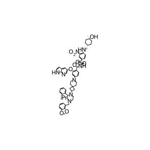 CC(C)c1ccccc1C1CN(Cc2cccc3c2OCO3)CCN1C1CC2(CCN(c3ccc(C(=O)NS(=O)(=O)c4ccc(NC[C@H]5CC[C@](C)(O)CC5)c([N+](=O)[O-])c4)c(Oc4cnc5[nH]ccc5c4)c3)CC2)C1